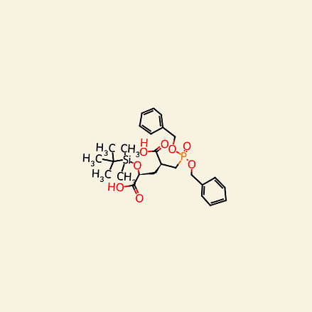 CC(C)(C)[Si](C)(C)O[C@@H](C[C@H](CP(=O)(OCc1ccccc1)OCc1ccccc1)C(=O)O)C(=O)O